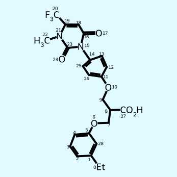 CCc1cccc(OCC(COc2ccc(-n3c(=O)cc(C(F)(F)F)n(C)c3=O)cc2)C(=O)O)c1